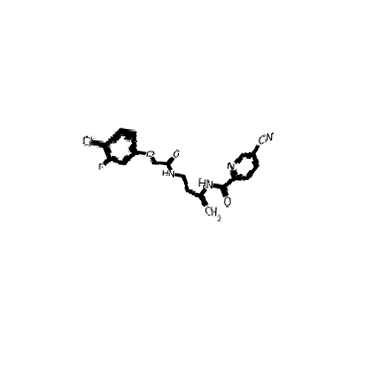 C=C(CCNC(=O)COc1ccc(Cl)c(F)c1)NC(=O)c1ccc(C#N)cn1